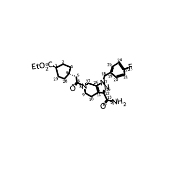 CCOC(=O)[C@H]1CC[C@H](CC(=O)N2CCc3c(C(N)=O)nn(Cc4ccc(F)cc4)c3C2)CC1